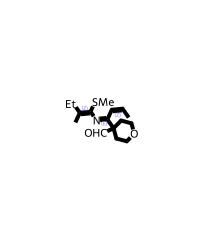 C\C=C/C(=N\C(SC)=C(/C)CC)C1(C=O)CCOCC1